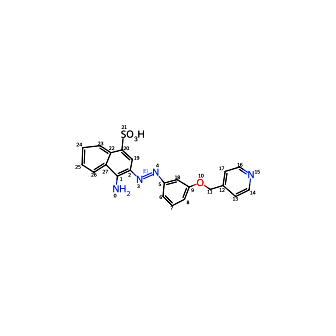 Nc1c(/N=N/c2cccc(OCc3ccncc3)c2)cc(S(=O)(=O)O)c2ccccc12